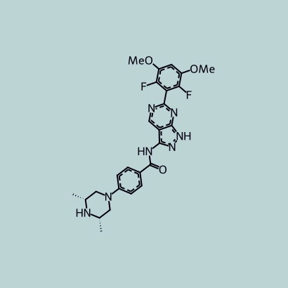 COc1cc(OC)c(F)c(-c2ncc3c(NC(=O)c4ccc(N5C[C@@H](C)N[C@@H](C)C5)cc4)n[nH]c3n2)c1F